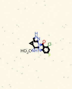 O=C(O)NC(c1nc2cc(F)cc(Cl)c2c(=O)n1-c1cc[nH]n1)C1CC1